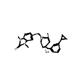 C[C@H]1C[C@@](O)(c2cccc(C3CC3)c2)CCN1Cc1ccc2c(c1)n(C)c(=O)n2C